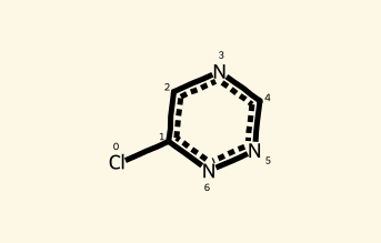 Clc1cncnn1